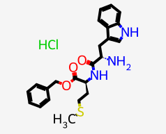 CSCC[C@H](NC(=O)[C@@H](N)Cc1c[nH]c2ccccc12)C(=O)OCc1ccccc1.Cl